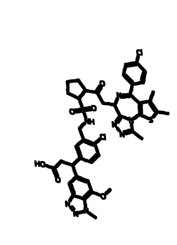 COc1cc(C(CC(=O)O)c2ccc(Cl)c(CNS(=O)(=O)C3CCCC3C(=O)CC3N=C(c4ccc(Cl)cc4)c4c(sc(C)c4C)-n4c(C)nnc43)c2)cc2nnn(C)c12